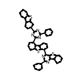 c1ccc(-c2nc(-c3ccc4c(c3)sc3ccccc34)nc(-c3cccc4sc5c(-c6nc(-c7ccccc7)nc7c6sc6ccccc67)cccc5c34)n2)cc1